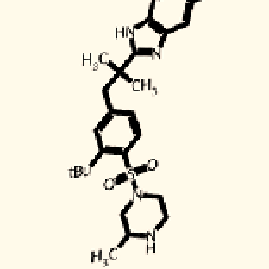 CC1CN(S(=O)(=O)c2ccc(CC(C)(C)c3nc4cc(Cl)ccc4[nH]3)cc2C(C)(C)C)CCN1